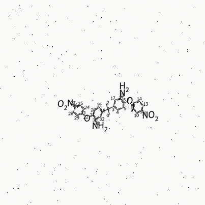 CC(C)(c1ccc(Oc2ccc([N+](=O)[O-])cc2)c(N)c1)c1ccc(Oc2ccc([N+](=O)[O-])cc2)c(N)c1